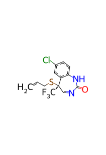 C=CCS[C@@]1(C(F)(F)F)C=NC(=O)Nc2ccc(Cl)cc21